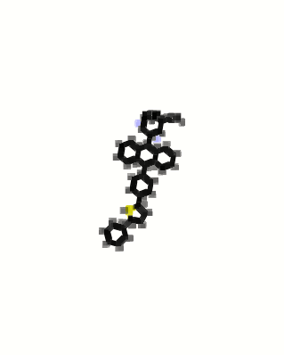 C/C=C\C(=C/C(C)C)c1c2ccccc2c(-c2ccc(-c3ccc(-c4ccccc4)s3)cc2)c2ccccc12